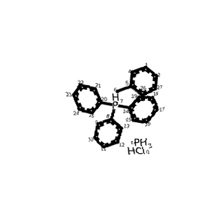 Cl.P.c1ccc(C[PH](c2ccccc2)(c2ccccc2)c2ccccc2)cc1